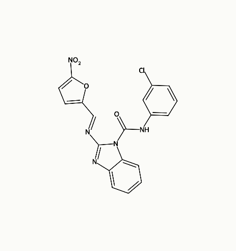 O=C(Nc1cccc(Cl)c1)n1c(N=Cc2ccc([N+](=O)[O-])o2)nc2ccccc21